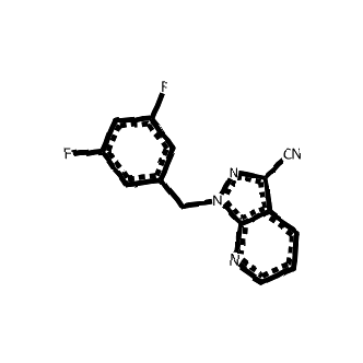 N#Cc1nn(Cc2cc(F)cc(F)c2)c2ncccc12